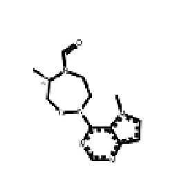 C[C@@H]1CON(c2ncnc3ccn(C)c23)CCN1C=O